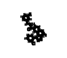 Cc1nc2ccc(C(=O)NCc3cc(F)ccn3)cc2n2c(-c3ccccc3Cl)nnc12